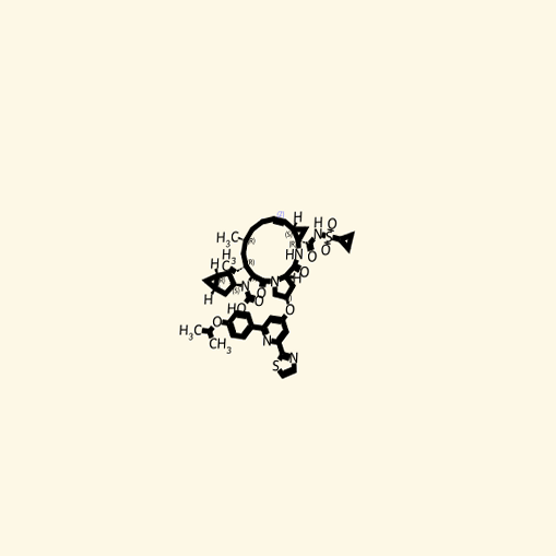 CC[C@@H]1C[C@H](C)CC/C=C\[C@@H]2C[C@@]2(C(=O)NS(=O)(=O)C2CC2)NC(=O)[C@@H]2C[C@@H](Oc3cc(-c4ccc(OC(C)C)cc4)nc(-c4nccs4)c3)CN2C(=O)[C@H]1N(C(=O)O)[C@@H]1C[C@H]2C[C@H]2C1